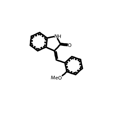 COc1ccccc1/C=C1\C(=O)Nc2ccccc21